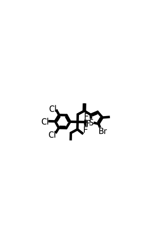 C=C(CC(c1cc(Cl)c(Cl)c(Cl)c1)(C(C)CC)C(F)(F)F)c1cc(C)c(Br)s1